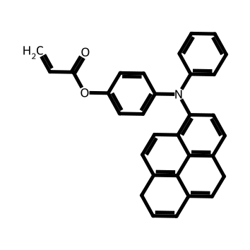 C=CC(=O)Oc1ccc(N(c2ccccc2)c2ccc3c4c5c(ccc24)CC=CC5=CC3)cc1